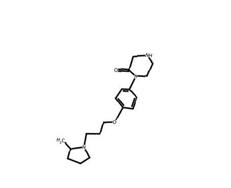 CC1CCCN1CCCOc1ccc(N2CCNCC2=O)cc1